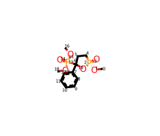 COP1(=O)CCC(c2ccccc2)(P(=O)(OC)OC)O1